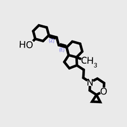 CC12CCC/C(=C\C=C3\CCCC(O)C3)C1CCC2CCN1CCOC2(CC2)C1